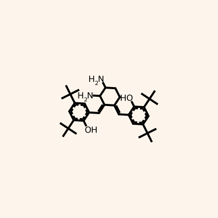 CC(C)(C)c1cc(C=C2CCC(N)C(N)C2=Cc2cc(C(C)(C)C)cc(C(C)(C)C)c2O)c(O)c(C(C)(C)C)c1